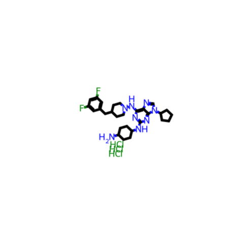 Cl.Cl.Cl.NC1CCC(Nc2nc(NN3CCC(Cc4cc(F)cc(F)c4)CC3)c3ncn(C4CCCC4)c3n2)CC1